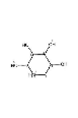 OC1CNC(O)C(O)C1O